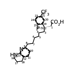 O=C(O)C[C@H](CCCCCCc1ccc2c(n1)NCCC2)c1cc(C(F)(F)F)ccc1F